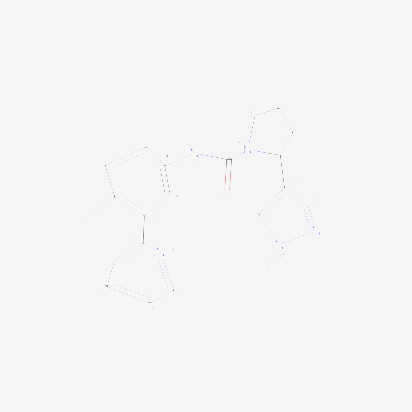 Cc1ccc(NC(=O)N2CCCC2c2cnn(C)c2)cc1-c1ccccn1